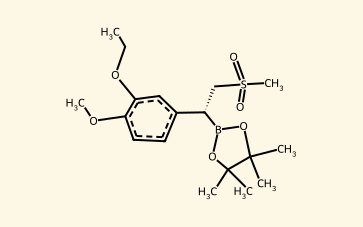 CCOc1cc([C@H](CS(C)(=O)=O)B2OC(C)(C)C(C)(C)O2)ccc1OC